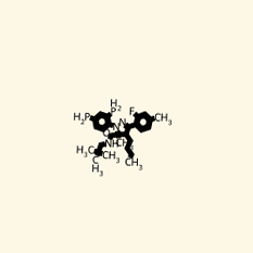 CCCCC1C(c2ccc(C)cc2F)=NN(c2ccc(P)cc2P)C1(C)C(=O)NCC(C)(C)C